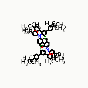 CC(C)(C)c1ccc(N(c2c(F)cc(-c3ccc([Si](C)(C)C)cc3)cc2-c2ccc([Si](C)(C)C)cc2)c2ccc3ccc4c(N(c5ccc(C(C)(C)C)cc5)c5c(F)cc(-c6ccc([Si](C)(C)C)cc6)cc5-c5ccc([Si](C)(C)C)cc5)ccc5ccc2c3c54)cc1